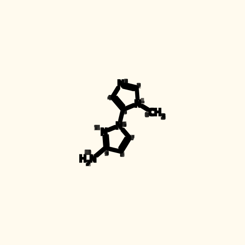 Cn1cncc1-n1ccc(N)n1